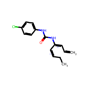 C=C/C=C(\C=C/CC)NC(=O)Nc1ccc(Cl)cc1